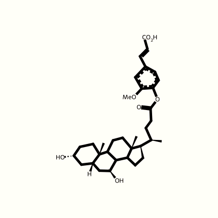 COc1cc(/C=C/C(=O)O)ccc1OC(=O)CC[C@@H](C)[C@H]1CCC2C3C(CC[C@@]21C)[C@@]1(C)CC[C@@H](O)C[C@H]1C[C@@H]3O